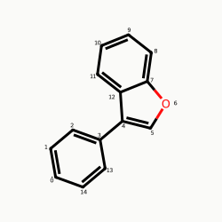 [c]1ccc(-c2coc3ccccc23)cc1